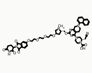 CN1C[C@H](OCCOCCOCCOc2ccc3c(c2)C(=O)N(C2CCC(=O)NC2=O)C3=O)C[C@H]1COc1nc2c(c(N3CCN(C(=O)O)[C@@H](CC#N)C3)n1)CCN(c1cccc3ccccc13)C2